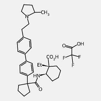 CC[C@@]1(C(=O)O)CCCC[C@H]1NC(=O)C1(c2ccc(-c3ccc(CCN4CCCC4C)cc3)cc2)CCCC1.O=C(O)C(F)(F)F